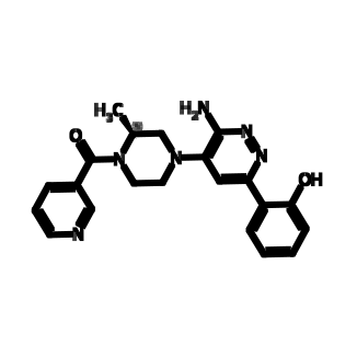 C[C@H]1CN(c2cc(-c3ccccc3O)nnc2N)CCN1C(=O)c1cccnc1